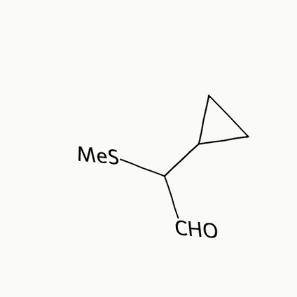 CSC(C=O)C1CC1